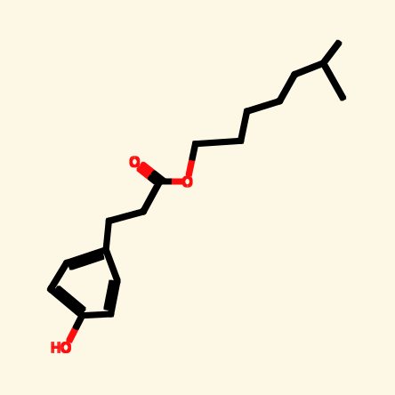 CC(C)CCCCCOC(=O)CCc1ccc(O)cc1